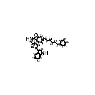 O=C1CNC(=O)C2(CCN(CCCCCCc3ccccc3)CC2)N1CCc1c[nH]c2ccccc12